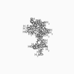 CC[C@H](C)[C@H](NC(=O)[C@@H](NC(=O)[C@@H]1C[C@@H](O)CN1C(=O)[C@@H](N)C(C)C)[C@@H](C)CC)C(=O)N[C@@H](Cc1ccc(O)cc1)C(=O)N[C@H](C(=O)N[C@@H](CC(N)=O)C(=O)N[C@@H](CCCNC(=N)N)C(=O)N[C@@H](CCN)C(=O)N[C@H](C(=O)N[C@H](CCN)C(=O)N[C@@H](CCCCN)C(=O)N[C@@H](CS)C(=O)N[C@@H](CCN)C(=O)N[C@@H](CCCNC(N)=O)C(=O)N[C@@H](Cc1ccc(O)cc1)C(=O)O)[C@@H](C)O)C(C)(C)S